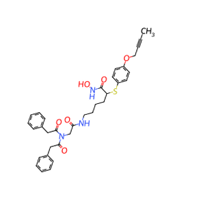 CC#CCOc1ccc(SC(CCCCNC(=O)CN(C(=O)Cc2ccccc2)C(=O)Cc2ccccc2)C(=O)NO)cc1